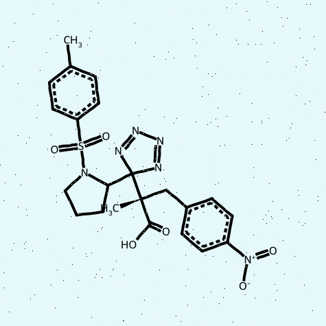 Cc1ccc(S(=O)(=O)N2CCCC2C2([C@](C)(Cc3ccc([N+](=O)[O-])cc3)C(=O)O)N=NN=N2)cc1